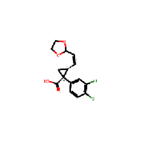 O=C(O)[C@@]1(c2ccc(Cl)c(Cl)c2)C[C@H]1/C=C\C1OCCO1